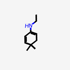 CCNC1=CCC(C)(C)C=C1